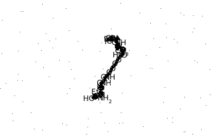 CCc1c(-c2ccc(C(=O)NCCC(=O)NCCOCCOCCOCCOCCNC(=O)c3cccc(-c4nc(NC(=O)C5(c6ccc7c(c6)OC(F)(F)O7)CC5)ccc4C)c3)nc2)cnc(N)c1-c1ccc(O)cc1